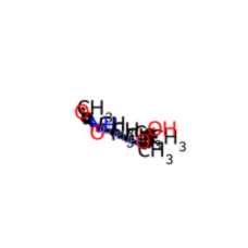 COc1ccc(CNC(=O)/C(C)=C/CC/C(C)=C/CC/C(C)=C/CCC2(C)CCc3c(C)c(O)cc(C)c3O2)cc1